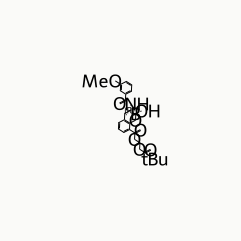 COc1cccc(C(=O)N[C@H]2Cc3cccc(C(=O)OCOC(=O)C(C)(C)C)c3OB2O)c1